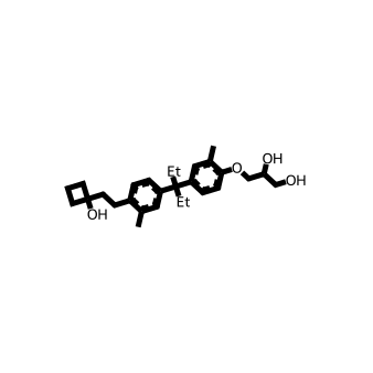 CCC(CC)(c1ccc(CCC2(O)CCC2)c(C)c1)c1ccc(OCC(O)CO)c(C)c1